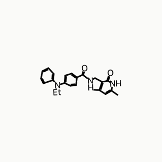 CCN(c1ccccc1)c1ccc(C(=O)NCc2c(C)cc(C)[nH]c2=O)cc1